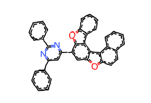 c1ccc(-c2cc(-c3cc4oc5ccc6ccccc6c5c4c4c3oc3ccccc34)nc(-c3ccccc3)n2)cc1